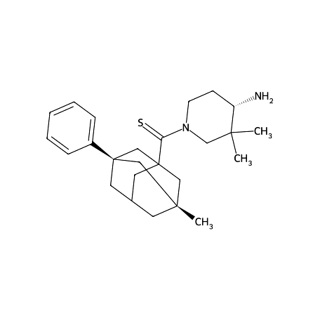 CC1(C)CN(C(=S)C23CC4C[C@@](C)(C2)C[C@](c2ccccc2)(C4)C3)CC[C@@H]1N